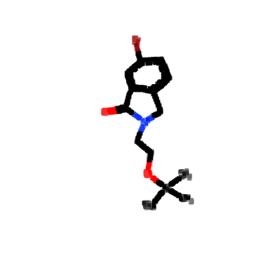 CC(C)(C)[Si](C)(C)OCCN1Cc2ccc(Br)cc2C1=O